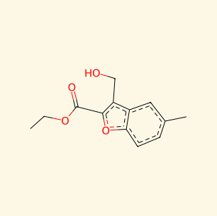 CCOC(=O)c1oc2ccc(C)cc2c1CO